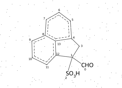 O=CC1(S(=O)(=O)O)Cc2cccc3cccc1c23